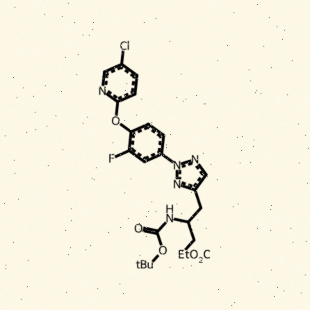 CCOC(=O)CC(Cc1cnn(-c2ccc(Oc3ccc(Cl)cn3)c(F)c2)n1)NC(=O)OC(C)(C)C